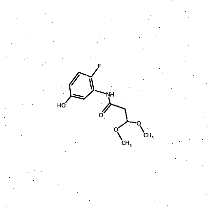 COC(CC(=O)Nc1cc(O)ccc1F)OC